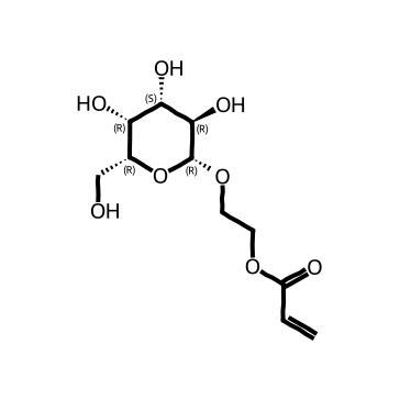 C=CC(=O)OCCO[C@@H]1O[C@H](CO)[C@H](O)[C@H](O)[C@H]1O